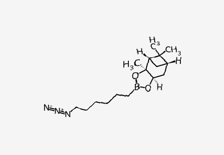 CC1(C)[C@@H]2C[C@H]3OB(CCCCCCN=[N+]=[N-])O[C@@]3(C)[C@H]1C2